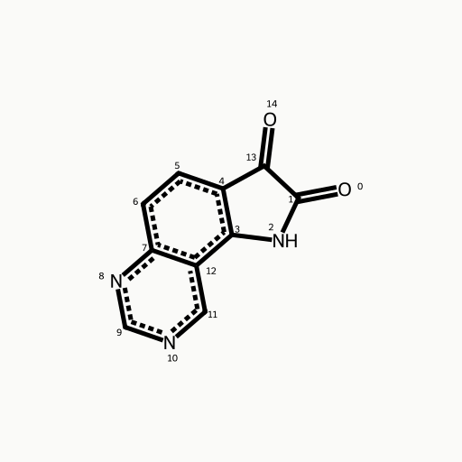 O=C1Nc2c(ccc3ncncc23)C1=O